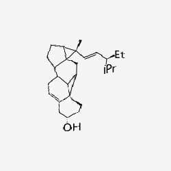 CC[C@H](/C=C/[C@@]1(C)C2CCC3C4CC=C5C[C@@H](O)CC[C@@]56C(C[C@@]321)C46)C(C)C